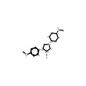 COc1ccc([C@@H]2CN([C@H]3CC[C@H](OC)CC3)C[C@@H]2F)cc1